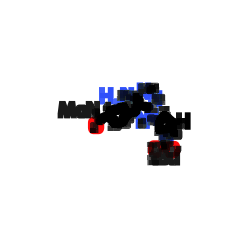 CNC(=O)c1ccc(-c2nn(C3C[C@H]4CC3N(C(=O)OC(C)(C)C)C4)c3ncnc(N)c23)cc1